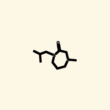 CC(C)CN1CCCN(C)CC1=O